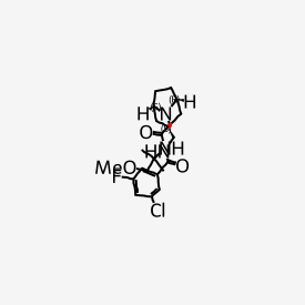 COCC(C)(C)NC(=O)CN1[C@@H]2CC[C@H]1C[C@H](CNC(=O)c1cc(F)cc(Cl)c1)C2